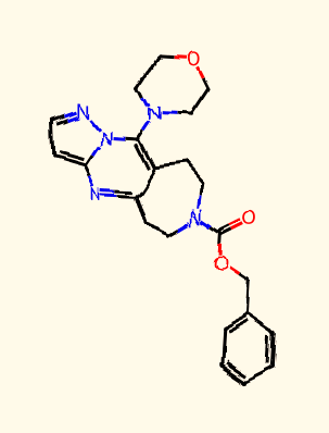 O=C(OCc1ccccc1)N1CCc2nc3ccnn3c(N3CCOCC3)c2CC1